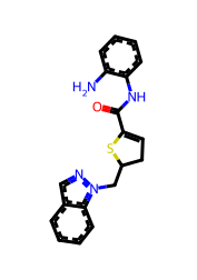 Nc1ccccc1NC(=O)C1=CCC(Cn2ncc3ccccc32)S1